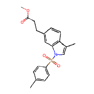 COC(=O)CCc1ccc2c(C)cn(S(=O)(=O)c3ccc(C)cc3)c2c1